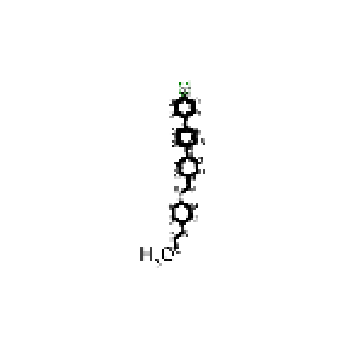 CCCC[C@H]1CC[C@H](CCC2CCC(c3ccc(-c4ccc(Cl)cc4)cc3)CC2)CC1